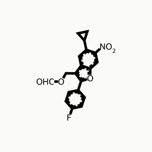 O=COCc1c(-c2ccc(F)cc2)oc2cc([N+](=O)[O-])c(C3CC3)cc12